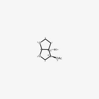 CC(=O)O[C@H]1COC2OCC[C@H]21